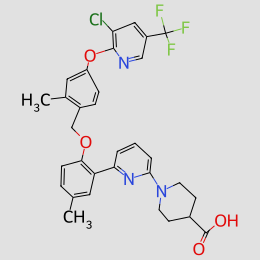 Cc1ccc(OCc2ccc(Oc3ncc(C(F)(F)F)cc3Cl)cc2C)c(-c2cccc(N3CCC(C(=O)O)CC3)n2)c1